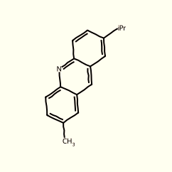 Cc1ccc2nc3ccc(C(C)C)cc3cc2c1